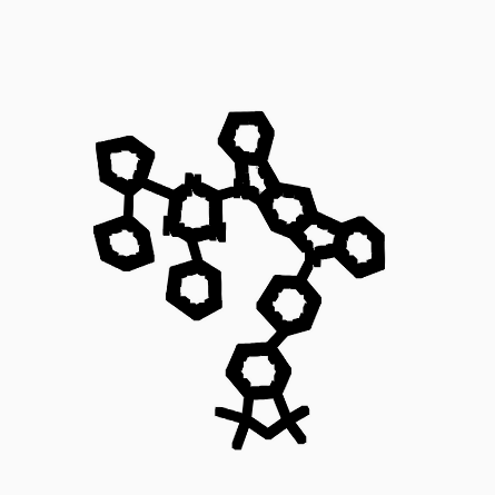 CC1(C)CC(C)(C)c2cc(-c3ccc(-n4c5ccccc5c5cc6c7ccccc7n(-c7nc(-c8ccccc8)nc(-c8ccccc8-c8ccccc8)n7)c6cc54)cc3)ccc21